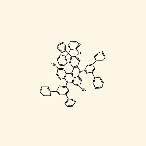 CC(C)(C)c1ccc2c(c1)B1c3cc4c(cc3N(c3cc(-c5ccccc5)cc(-c5ccccc5)c3)c3cc(C(C)(C)C)cc(c31)N2c1cc(-c2ccccc2)cc(-c2ccccc2)c1)Oc1ccccc1C4(c1ccccc1)c1ccccc1